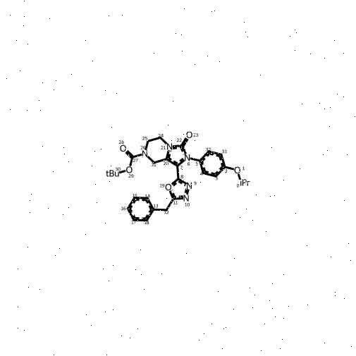 CC(C)Oc1ccc(-n2c(-c3nnc(Cc4ccccc4)o3)c3n(c2=O)CCN(C(=O)OC(C)(C)C)C3)cc1